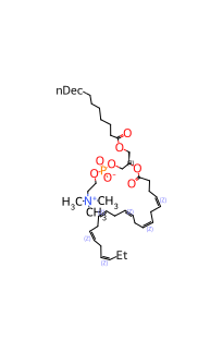 CC/C=C\C/C=C\C/C=C\C/C=C\C/C=C\C/C=C\CCC(=O)O[C@H](COC(=O)CCCCCCCCCCCCCCCC)COP(=O)([O-])OCC[N+](C)(C)C